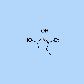 CCC1=C(O)C(O)CC1C